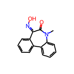 Cn1c(=O)c(=NO)c2ccccc2c2ccccc21